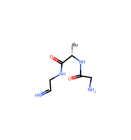 CCC(C)[C@H](NC(=O)CN)C(=O)NCC=N